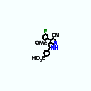 COc1ccc(F)cc1-c1c(C#N)cnc2[nH]c(C3=CCC(C(=O)O)CC3)cc12